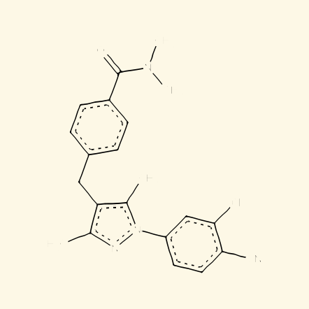 Cc1nn(-c2ccc(C#N)c(Cl)c2)c(C)c1Cc1ccc(C(=O)N(C)C)cc1